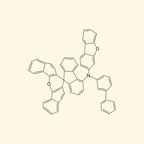 c1ccc(-c2cccc(N(c3ccc4c(c3)oc3ccccc34)c3cccc4c3-c3ccccc3C43c4ccc5ccccc5c4Oc4c3ccc3ccccc43)c2)cc1